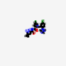 CC1(C[C@@H](N)C(=O)NC(=O)[C@@H]2CC(F)(F)CN2Cc2cc(Cl)ccc2-n2cncn2)CC1